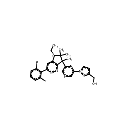 CC[C@@H]1c2cc(-c3c(F)cccc3F)nnc2C(C)(c2cncc(-n3ccc(CO)n3)n2)C1(C)C